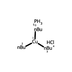 CCC[CH2][Cu]([CH2]CCC)[CH2]CCC.Cl.P